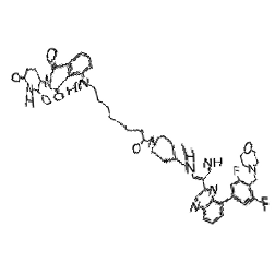 N=C/C(=C\NC1CCN(C(=O)CCCCCCCNc2cccc3c2C(=O)N(C2CCC(=O)NC2=O)C3=O)CC1)c1cnc2cccc(-c3cc(F)c(CN4CCOCC4)c(F)c3)c2n1